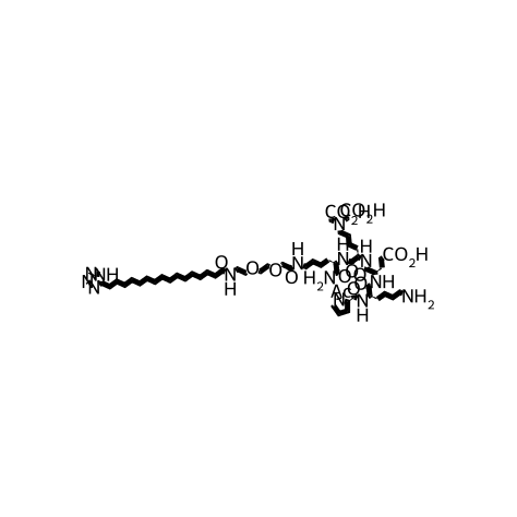 CC(=O)N1CCC[C@H]1C(=O)N[C@@H](CCCCN)C(=O)N[C@@H](CCC(=O)O)C(=O)N[C@@H](CCCCN(CC(=O)O)CC(=O)O)C(=O)N[C@@H](CCCCNC(=O)COCCOCCNC(=O)CCCCCCCCCCCCCCCc1nnn[nH]1)C(N)=O